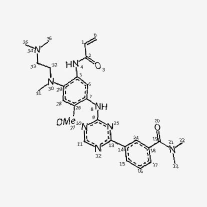 C=CC(=O)Nc1cc(Nc2ncnc(-c3cccc(C(=O)N(C)C)c3)n2)c(OC)cc1N(C)CCN(C)C